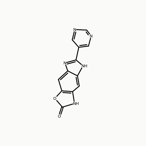 O=c1[nH]c2cc3[nH]c(-c4cncnc4)nc3cc2o1